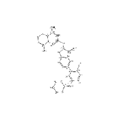 CC(=O)N1CCCC([C@@H](C)NC(=O)CN2Cc3ccc(-c4nc(NC5CCOCC5)ncc4Cl)cc3C2=O)C1